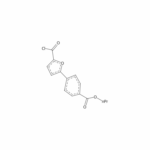 CCCOC(=O)c1ccc(-c2ccc(C(=O)Cl)o2)cc1